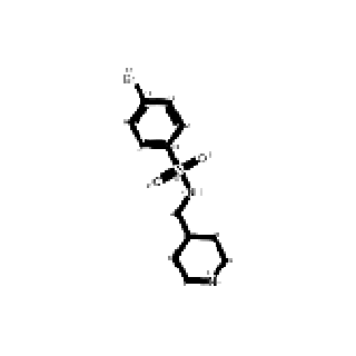 O=S(=O)(NCC1CCNCC1)c1ccc(Br)cc1